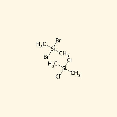 C[Si](C)(Br)Br.C[Si](C)(Cl)Cl